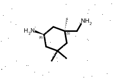 CC1(C)C[C@@H](N)C[C@@](C)(CN)C1